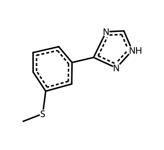 CSc1cccc(-c2nc[nH]n2)c1